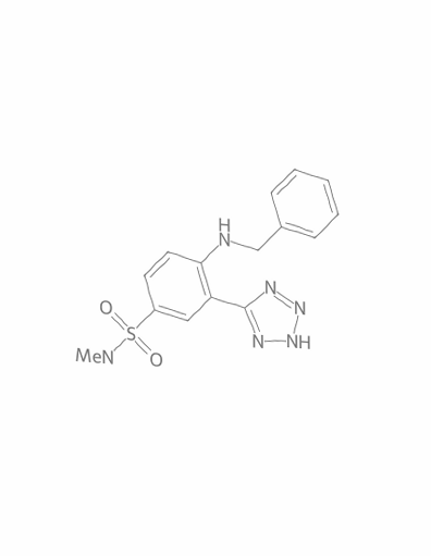 CNS(=O)(=O)c1ccc(NCc2ccccc2)c(-c2nn[nH]n2)c1